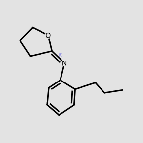 CCCc1ccccc1/N=C1\CCCO1